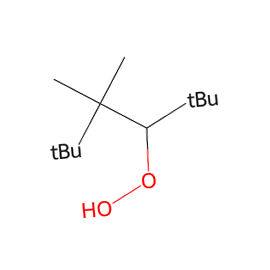 CC(C)(C)C(OO)C(C)(C)C(C)(C)C